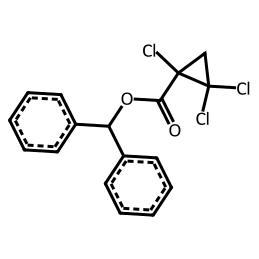 O=C(OC(c1ccccc1)c1ccccc1)C1(Cl)CC1(Cl)Cl